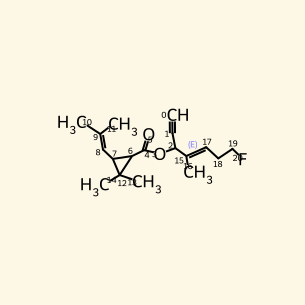 C#CC(OC(=O)C1C(C=C(C)C)C1(C)C)/C(C)=C/CCF